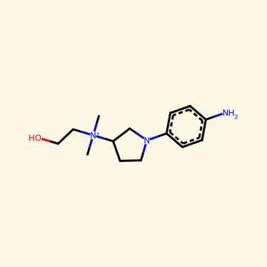 C[N+](C)(CCO)C1CCN(c2ccc(N)cc2)C1